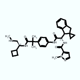 CNC[C@@H](NC(=O)C(C)(C)c1ccc(NC(=O)[C@@H](NC(=O)c2ccnn2C)C2c3ccccc3CC23CC3)cc1)C1CCC1